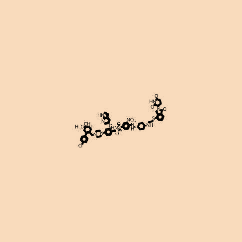 CC1(C)CCC(CN2CCN(c3ccc(C(=O)NS(=O)(=O)c4ccc(NC[C@H]5CC[C@@H](NCCSc6cccc7c6CN(C6CCC(=O)NC6=O)C7=O)CC5)c([N+](=O)[O-])c4)c(Oc4cnc5[nH]ccc5c4)c3)CC2)=C(c2ccc(Cl)cc2)C1